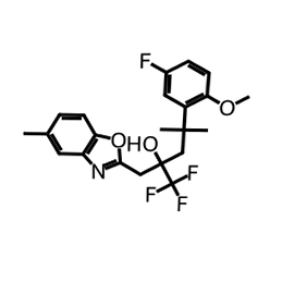 COc1ccc(F)cc1C(C)(C)CC(O)(Cc1nc2cc(C)ccc2o1)C(F)(F)F